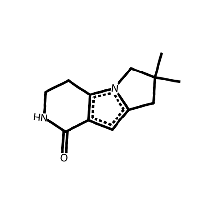 CC1(C)Cc2cc3c(n2C1)CCNC3=O